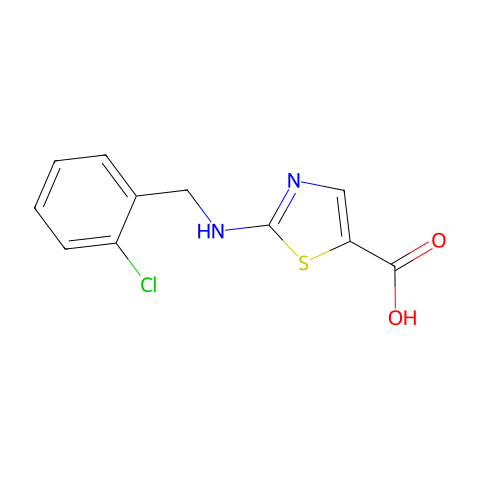 O=C(O)c1cnc(NCc2ccccc2Cl)s1